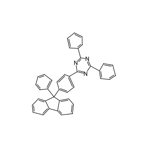 c1ccc(-c2nc(-c3ccccc3)nc(-c3ccc(C4(c5ccccc5)c5ccccc5-c5ccccc54)cc3)n2)cc1